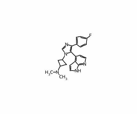 CN(C)C1CC(n2cnc(-c3ccc(F)cc3)c2-c2ccnc3[nH]ccc23)C1